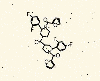 O=C(C1CCN(C(=O)c2ccco2)C(c2ccc(F)cc2F)C1)C1CCN(C(=O)c2ccco2)C(c2ccc(F)cc2F)C1